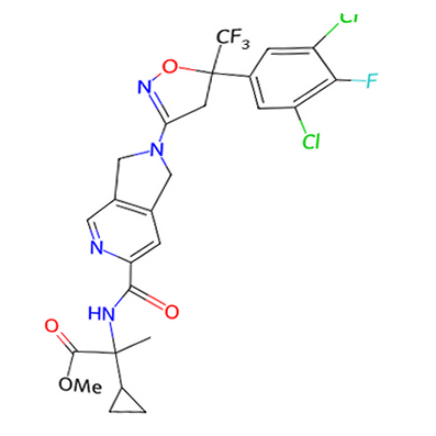 COC(=O)C(C)(NC(=O)c1cc2c(cn1)CN(C1=NOC(c3cc(Cl)c(F)c(Cl)c3)(C(F)(F)F)C1)C2)C1CC1